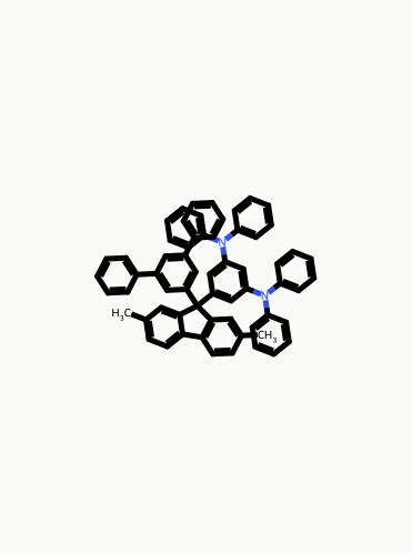 Cc1ccc2c(c1)C(c1cc(-c3ccccc3)cc(-c3ccccc3)c1)(c1cc(N(c3ccccc3)c3ccccc3)cc(N(c3ccccc3)c3ccccc3)c1)c1cc(C)ccc1-2